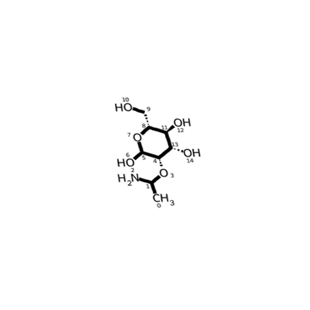 CC(N)O[C@@H]1C(O)O[C@H](CO)[C@@H](O)[C@@H]1O